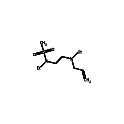 C=CCN(CCN(CC)S(C)(=O)=O)C(C)C